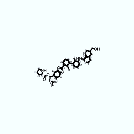 Cc1c(Nc2nccc3cc(CO)cnc23)cccc1-c1cccc(-c2nc3cc(OC(F)F)c(COC(=O)[C@@H]4CCCN4)cc3o2)c1C